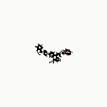 C/N=C/c1cnn2cc(OCCN3C4CCC3CC(=O)C4)cc(-c3ccc(N4CC5CC4CN5C(=O)c4cccc(C)c4C)nc3)c12